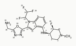 CN1CC[C@@H](Nc2cccc3c2cc(-c2nnc(CN)o2)n3C(F)C(F)F)[C@@H](F)C1